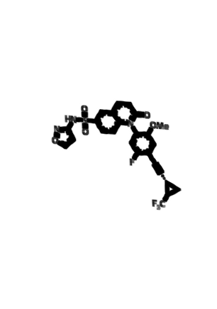 COc1cc(C#C[C@@H]2CC2C(F)(F)F)c(F)cc1-n1c(=O)ccc2cc(S(=O)(=O)Nc3ccon3)ccc21